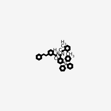 C=C(/N=C(\N=C(/C)c1cccc(CCc2ccccc2)c1)c1cccc([Si](c2ccccc2)(c2ccccc2)c2ccccc2)c1)c1c(C)cccc1C